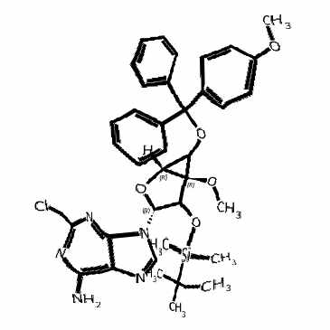 COc1ccc(C(OC2[C@H]3O[C@@H](n4cnc5c(N)nc(Cl)nc54)C(O[Si](C)(C)C(C)(C)C)[C@@]23OC)(c2ccccc2)c2ccccc2)cc1